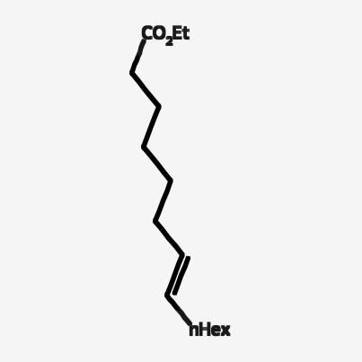 CCCCCCC=CCCCCCC(=O)OCC